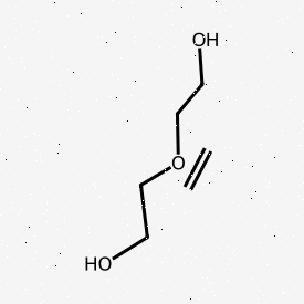 C=C.OCCOCCO